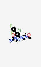 C=CC(=O)N1C[C@H](C)N(C2=NC(=C)N3c4c2cc(Cl)c(-c2ccc(F)cc2F)c4OCC3CN(C)C)C[C@H]1C